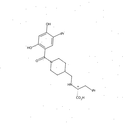 CC(C)C[C@@H](NCC1CCN(C(=O)c2cc(C(C)C)c(O)cc2O)CC1)C(=O)O